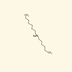 CCCCCCC[CH]CCCCCCC.[NaH]